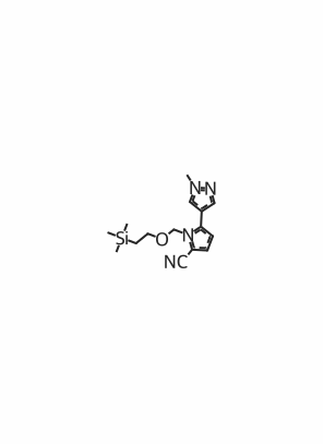 Cn1cc(-c2ccc(C#N)n2COCC[Si](C)(C)C)cn1